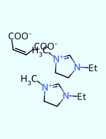 CCN1C=[N+](C)CC1.CCN1C=[N+](C)CC1.O=C([O-])/C=C\C(=O)[O-]